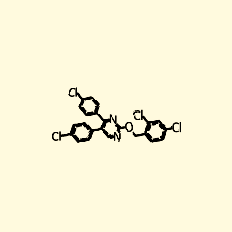 Clc1ccc(-c2cnc(OCc3ccc(Cl)cc3Cl)nc2-c2ccc(Cl)cc2)cc1